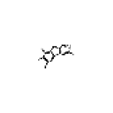 Cc1cc2c(cn1)Cc1c-2cc(C)c(C)c1C